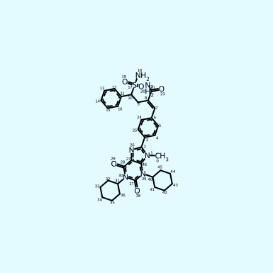 Cn1c(-c2ccc(/C=C(\CC(c3ccccc3)S(N)(=O)=O)C(N)=O)cc2)nc2c(=O)n(C3CCCCC3)c(=O)n(C3CCCCC3)c21